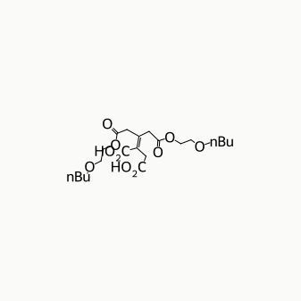 CCCCOCCOC(=O)CC(CC(=O)OCCOCCCC)=C(CC(=O)O)C(=O)O